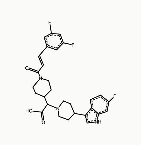 O=C(O)C(C1CCN(C(=O)C=Cc2cc(F)cc(F)c2)CC1)N1CCC(c2c[nH]c3cc(F)ccc23)CC1